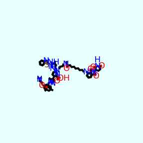 Cc1cc(N(CCCCN(C)C(=O)CCCCCCCCNc2cccc3c2C(=O)N(C2CCC(=O)NC2=O)C3=O)c2ccc(-c3cnn(CC45CC6(C)CC(C)(C4)CC(OCCN(C)C)(C6)C5)c3C)c(C(=O)O)n2)nnc1Nc1nc2ccccc2s1